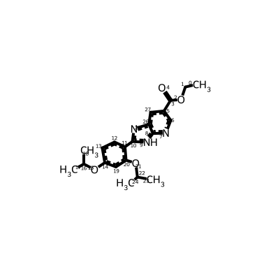 CCOC(=O)c1cnc2[nH]c(-c3ccc(OC(C)C)cc3OC(C)C)nc2c1